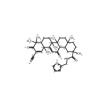 CC1(C(=O)NCc2ccco2)CCC2(C)CCC3(C)C(C(=O)C=C4C5(C)C=C(C#N)C(=O)C(C)(C)C5CCC43C)C2C1